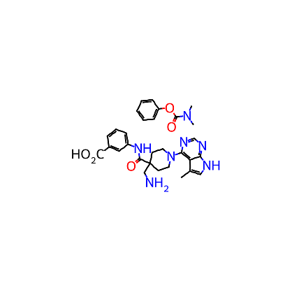 CN(C)C(=O)Oc1ccccc1.Cc1c[nH]c2ncnc(N3CCC(CN)(C(=O)Nc4cccc(C(=O)O)c4)CC3)c12